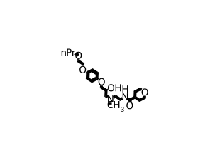 CCCOCCOc1ccc(OC[C@@H](O)CN(C)CCNC(=O)C2CCOCC2)cc1